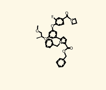 COC[C@H](C)Oc1cc(Oc2ccc(C(=O)N3CCC3)cc2F)cc(-c2ccc(C(=O)OCc3ccccc3)n2Cc2ccccc2)c1